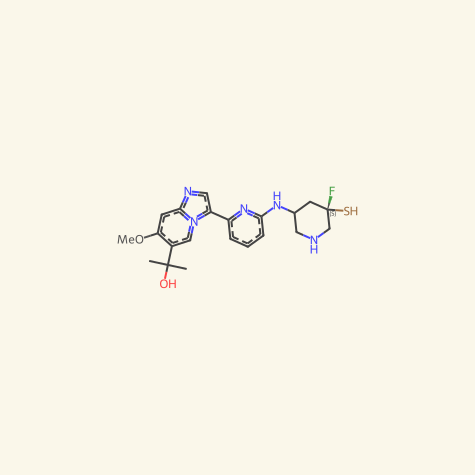 COc1cc2ncc(-c3cccc(NC4CNC[C@@](F)(S)C4)n3)n2cc1C(C)(C)O